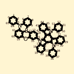 c1ccc(N2c3ccccc3B3c4ccc(-n5c6ccccc6c6c7c(c8ccccc8n7-c7ccccc7)c7c(c8ccccc8n7-c7ccccc7)c65)cc4Oc4cccc2c43)cc1